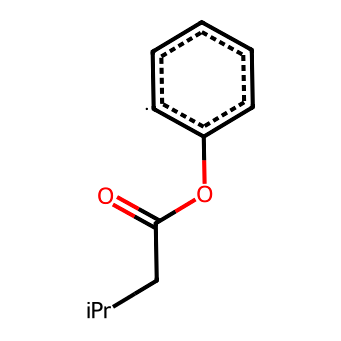 CC(C)CC(=O)Oc1[c]cccc1